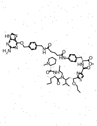 CCCO[C@H](CC(C(C)C)N(CCC)C(=O)[C@@H](NC(=O)[C@H]1CCCCN1C)[C@@H](C)CC)c1nc(C(=O)N[C@@H](Cc2ccc(NC(=O)CCCC(=O)NCc3ccc(COc4nc(N)nc5[nH]cnc45)cc3)cc2)C(=O)OC)cs1